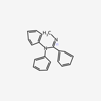 C/N=C(/c1ccccc1)N(c1ccccc1)c1ccccc1